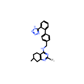 CC1CCc2c(nc(C(F)(F)F)nc2NCc2ccc(-c3ccccc3-c3nnn[nH]3)cc2)C1